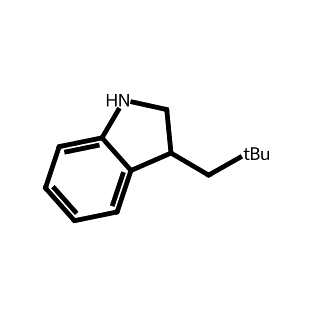 CC(C)(C)CC1CNc2ccccc21